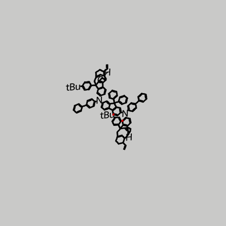 C=CC1CCC2=C[C@@H]1C1=CCCC3=C1c1ccc(N(c4ccc(-c5ccccc5)cc4)c4ccc5c(c4)C(c4ccccc4)(c4ccccc4)c4cc(N(c6ccc(-c7ccccc7)cc6)c6ccc7c(c6)C6(c8ccc(C(C)(C)C)cc8)CC8=C[C@@H](C9=CCCC6=C97)C(C=C)CC8)ccc4-5)cc1C3(c1ccc(C(C)(C)C)cc1)C2